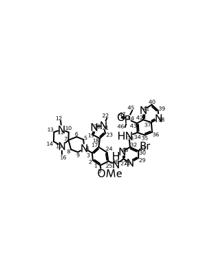 COc1cc(N2CCC3(CC2)CN(C)CCN3C)c(-c2cnn(C)c2)cc1Nc1ncc(Br)c(Nc2ccc3nccnc3c2P(C)(C)=O)n1